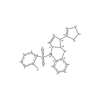 Cc1ccccc1S(=O)(=O)N1c2ccccc2CC2C(C3=CCCC3)C=CC21